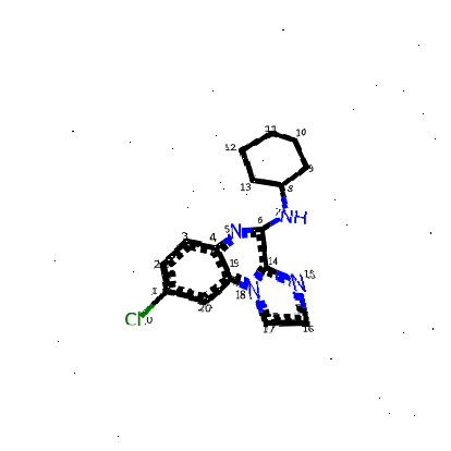 Clc1ccc2nc(NC3CCCCC3)c3nccn3c2c1